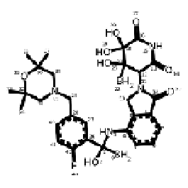 BC(O)(Nc1cccc2c1CN(C1C(=O)NC(=O)C(O)(O)C1(B)O)C2=O)c1cc(CN2CC(C)(C)OC(C)(C)C2)ccc1F